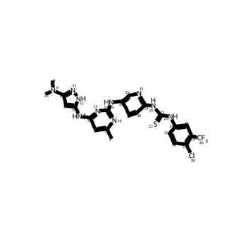 Cc1cc(Nc2cc(N(C)C)n[nH]2)nc(Nc2ccc(NC(=S)Nc3ccc(Cl)c(C(F)(F)F)c3)nc2)n1